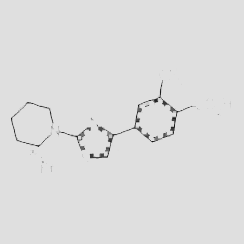 CC[C@@H]1CCCCN1c1nc(-c2ccc(C(=O)O)c(C(F)(F)F)c2)cs1